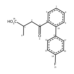 CC(CC(=O)c1ccccc1-c1ccc(F)cc1)C(=O)O